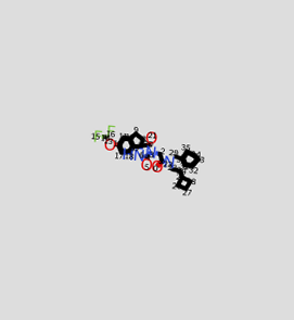 O=C(CN1C(=O)NC2(CCc3cc(OC(F)F)ccc32)C1=O)N(CCC1CCC1)Cc1ccccc1